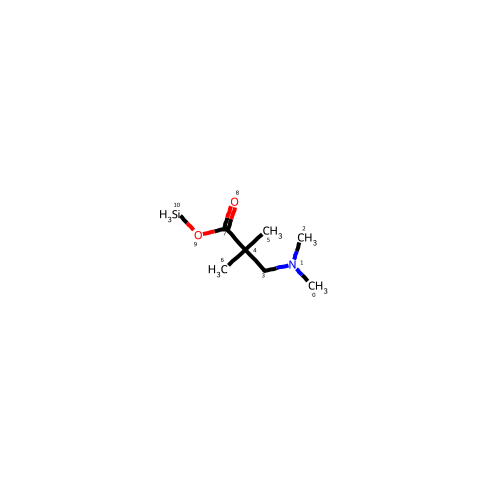 CN(C)CC(C)(C)C(=O)O[SiH3]